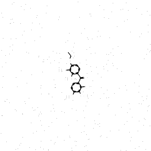 CCOc1ccc(C(=O)c2ccc(O)c(O)c2O)c(O)c1O